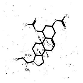 C[C@H](CO)[C@H]1CC[C@H]2[C@@H]3CC=C4CC(OC(=O)C(F)(F)F)CC(OC(=O)C(F)(F)F)[C@]4(C)[C@H]3CC[C@]12C